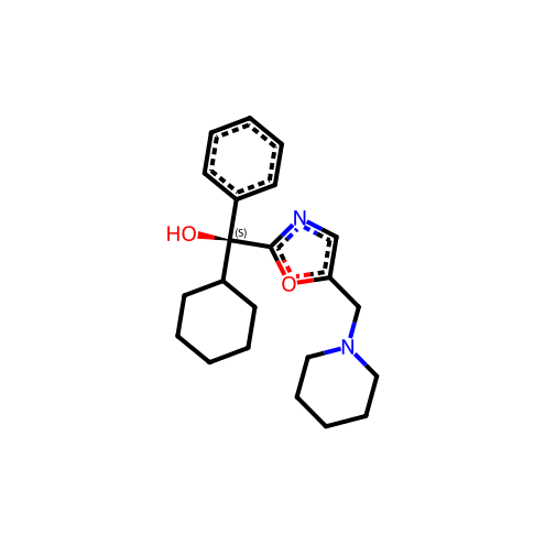 O[C@@](c1ccccc1)(c1ncc(CN2CCCCC2)o1)C1CCCCC1